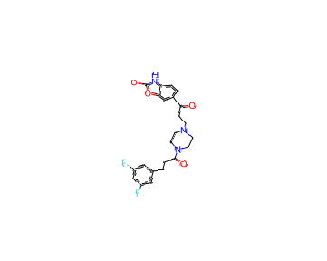 O=C(CCN1CCN(C(=O)CCc2cc(F)cc(F)c2)CC1)c1ccc2[nH]c(=O)oc2c1